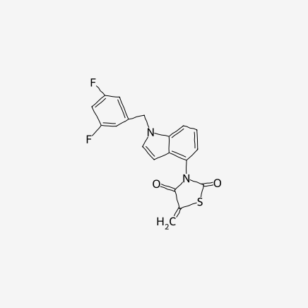 C=C1SC(=O)N(c2cccc3c2ccn3Cc2cc(F)cc(F)c2)C1=O